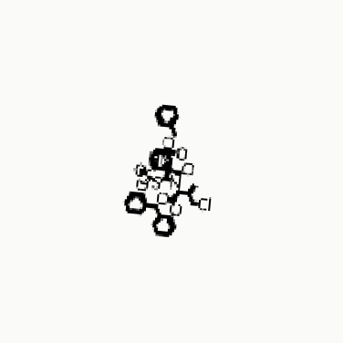 C=C(CCl)C(C(=O)OC(c1ccccc1)c1ccccc1)N1C(=O)C(NC(=O)OCc2ccccc2)C1SS(=O)(=O)c1ccccc1